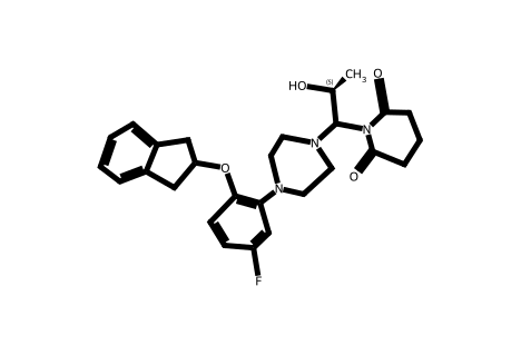 C[C@H](O)C(N1CCN(c2cc(F)ccc2OC2Cc3ccccc3C2)CC1)N1C(=O)CCCC1=O